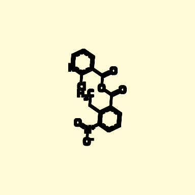 CCc1c(C(=O)OC(=O)c2cccnc2Cl)cccc1[N+](=O)[O-]